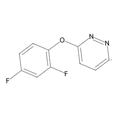 Fc1ccc(Oc2cc[c]nn2)c(F)c1